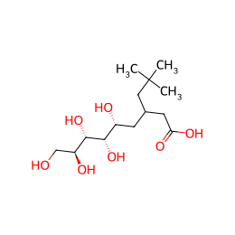 CC(C)(C)CC(CC(=O)O)C[C@@H](O)[C@H](O)[C@@H](O)[C@@H](O)CO